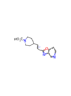 O=C(O)N1CCC(/C=C/c2nc3cnccc3o2)CC1